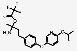 CC(C)Oc1ccc(Oc2ccc(CCC(C)(N)OC(=O)C(F)(F)F)cc2)cn1